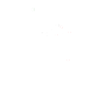 O=S(=O)(OC(c1ccc(Cl)cc1)(C(F)(F)F)C(F)(F)F)c1ccc(OCCCc2ccccc2)cc1